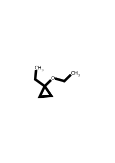 CCOC1(CC)CC1